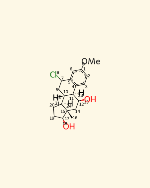 COc1ccc2c(c1)C(Cl)C[C@@H]1[C@@H]2[C@@H](O)C[C@]2(C)[C@@H](O)CC[C@@H]12